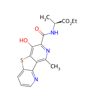 CCOC(=O)[C@H](C)NC(=O)c1nc(C)c2c(sc3cccnc32)c1O